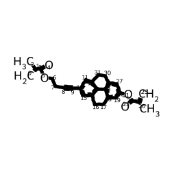 C=C(C)C(=O)OCCC#Cc1cc2c3c(c1)CCc1cc(OC(=O)C(=C)C)cc(c1-3)CC2